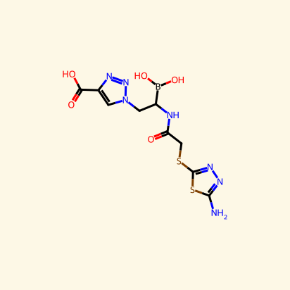 Nc1nnc(SCC(=O)NC(Cn2cc(C(=O)O)nn2)B(O)O)s1